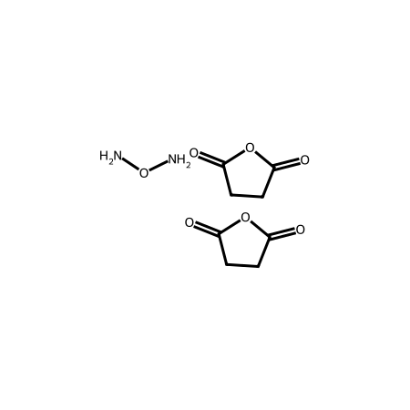 NON.O=C1CCC(=O)O1.O=C1CCC(=O)O1